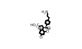 CC(=O)N(c1ccc(CCCN)cc1)[C@@H]1C[C@@H](C(=O)O)Nc2cc(Cl)cc(Cl)c21.Cl